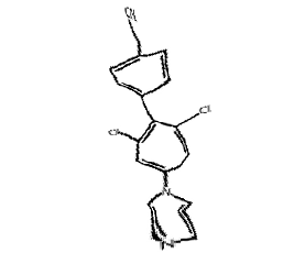 N#Cc1ccc(-c2c(Cl)cc(-n3ccnc3)cc2Cl)cc1